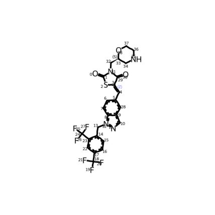 O=C1S/C(=C\c2ccc3c(cnn3Cc3ccc(C(F)(F)F)cc3C(F)(F)F)c2)C(=O)N1C[C@@H]1CNCCO1